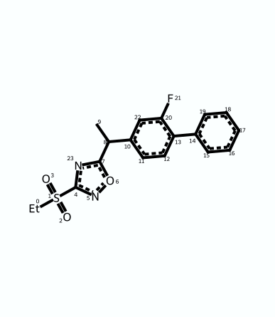 CCS(=O)(=O)c1noc(C(C)c2ccc(-c3ccccc3)c(F)c2)n1